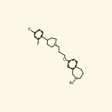 CC(=O)N1CCCc2ccc(OCCCN3CCC(c4ccc(F)cc4F)CC3)cc2C1